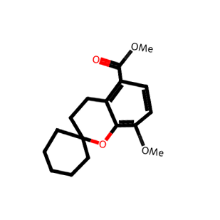 COC(=O)c1ccc(OC)c2c1CCC1(CCCCC1)O2